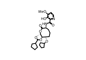 COc1ccnc(C(=O)N[C@H]2CCC[C@H](OC3CCCC3)[C@@H](OC(=O)C3CCCC3)[C@H](C)OC2=O)c1O